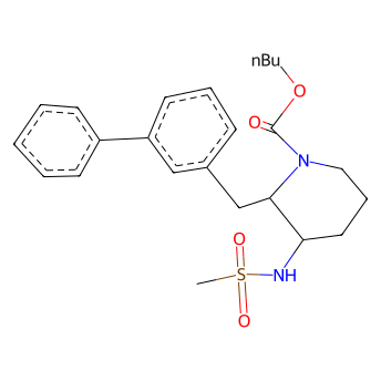 CCCCOC(=O)N1CCCC(NS(C)(=O)=O)C1Cc1cccc(-c2ccccc2)c1